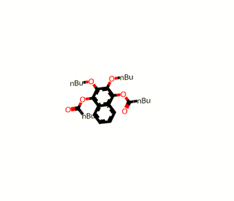 CCCCOc1c(OCCCC)c(OC(=O)CCCC)c2ccccc2c1OC(=O)CCCC